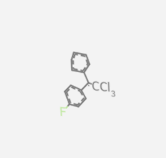 Fc1ccc([C](c2ccccc2)C(Cl)(Cl)Cl)cc1